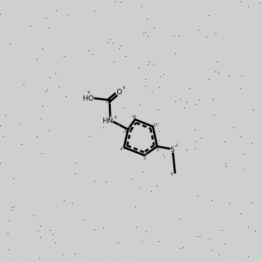 CSc1ccc(NC(=O)O)cc1